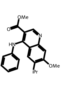 COC(=O)c1cnc2cc(OC)c(C(C)C)cc2c1Nc1ccccc1